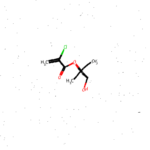 C=C(Cl)C(=O)OC(C)(C)CO